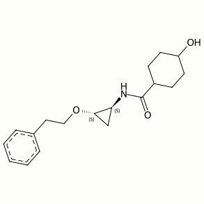 O=C(N[C@H]1C[C@@H]1OCCc1ccccc1)C1CCC(O)CC1